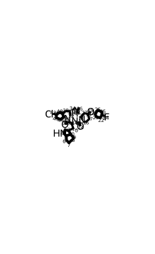 C[C@H](c1c[nH]c2ccccc12)[C@@H](NC(=O)N1CCC(Oc2ccc(F)cc2)CC1)C(=O)N1C[C@@H](CN(C)C)Cc2cc(Cl)ccc21